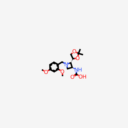 COc1ccc(CN2C[C@H](NC(=O)O)[C@H]2C2COC(C)(C)O2)c(OC)c1